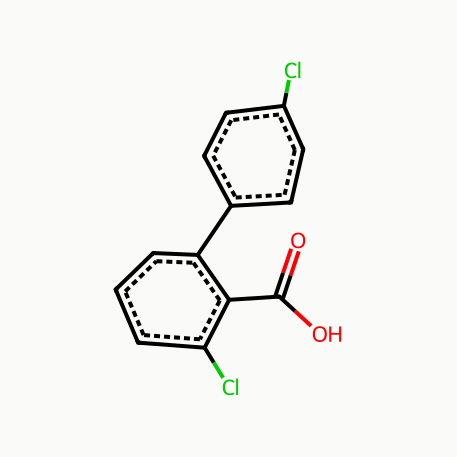 O=C(O)c1c(Cl)cccc1-c1ccc(Cl)cc1